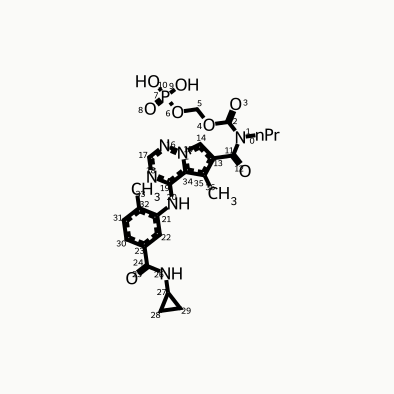 CCCN(C(=O)OCOP(=O)(O)O)C(=O)c1cn2ncnc(Nc3cc(C(=O)NC4CC4)ccc3C)c2c1C